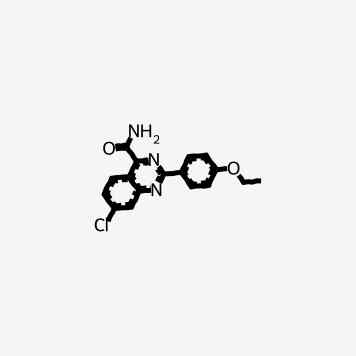 CCOc1ccc(-c2nc(C(N)=O)c3ccc(Cl)cc3n2)cc1